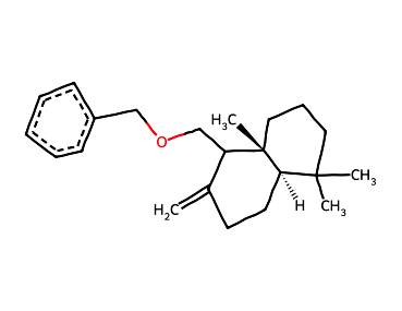 C=C1CC[C@@H]2C(C)(C)CCC[C@@]2(C)C1COCc1ccccc1